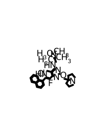 CN(C)C(C)(C)CNc1nc(OCC23CCCN2CCC3)nc2c1CNC(c1cccc3cccc(Cl)c13)=C2F